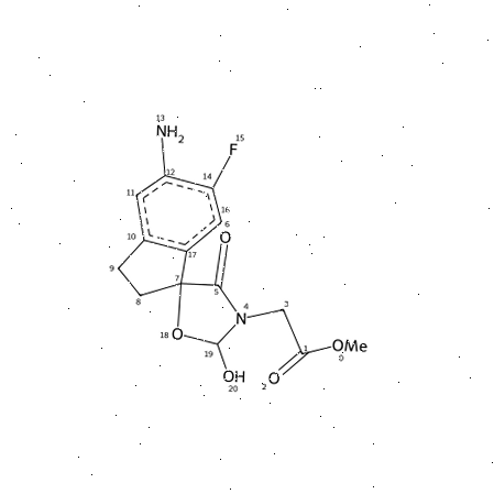 COC(=O)CN1C(=O)C2(CCc3cc(N)c(F)cc32)OC1O